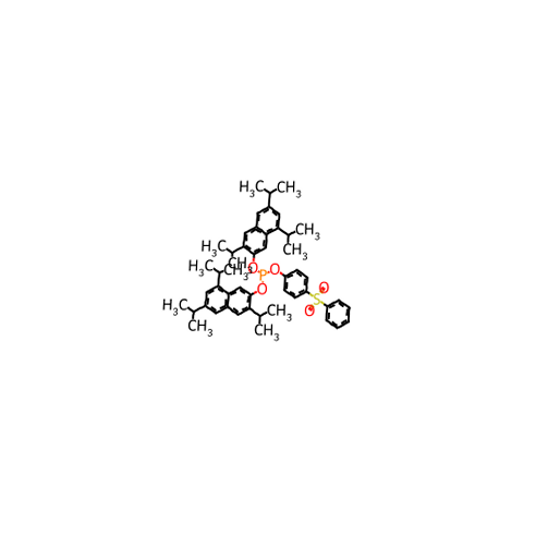 CC(C)c1cc(C(C)C)c2cc(OP(Oc3ccc(S(=O)(=O)c4ccccc4)cc3)Oc3cc4c(C(C)C)cc(C(C)C)cc4cc3C(C)C)c(C(C)C)cc2c1